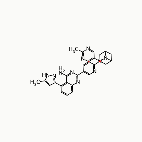 Cc1ncc(CN2C3CC2CN(c2ccc(-c4nc(N)c5c(-c6cc(C)[nH]n6)cccc5n4)cn2)C3)cn1